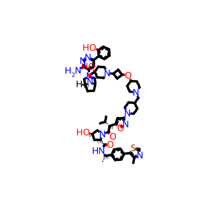 Cc1ncsc1-c1ccc([C@H](C)NC(=O)[C@@H]2C[C@@H](O)CN2C(=O)[C@@H](c2cc(N3CCC(CN4CCC(OC5CC(N6CCC(O)(CN7C8CC[C@@H]7CN(c7cc(-c9ccccc9O)nnc7N)C8)CC6)C5)CC4)CC3)no2)C(C)C)cc1